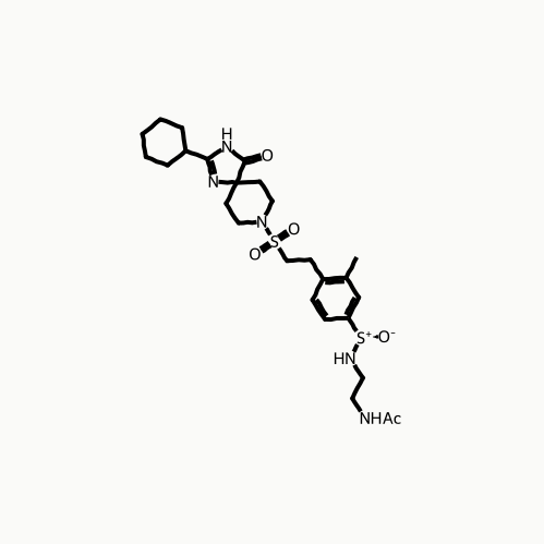 CC(=O)NCCN[S@@+]([O-])c1ccc(CCS(=O)(=O)N2CCC3(CC2)N=C(C2CCCCC2)NC3=O)c(C)c1